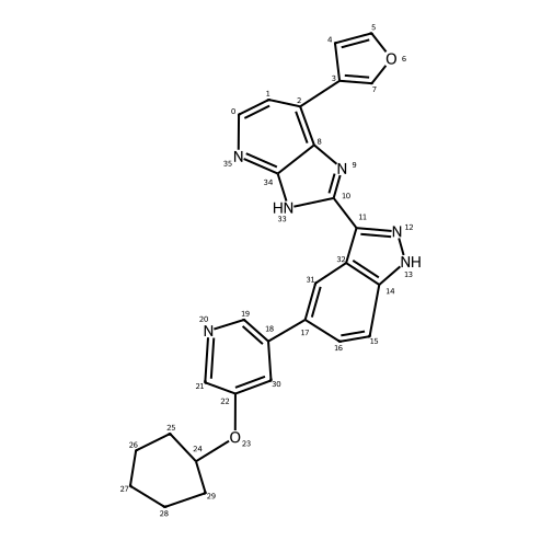 c1cc(-c2ccoc2)c2nc(-c3n[nH]c4ccc(-c5cncc(OC6CCCCC6)c5)cc34)[nH]c2n1